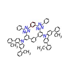 Cc1ccccc1-c1ccc2c(c1)c1cc(-c3ccccc3C)ccc1n2-c1cc(-c2cccc(-c3cc(-c4nc(-c5ccccc5)nc(-c5ccccc5)n4)cc(-n4c5ccc(-c6ccccc6C)cc5c5cc(-c6ccccc6C)ccc54)c3)c2)cc(-c2nc(-c3ccccc3)nc(-c3ccccc3)n2)c1